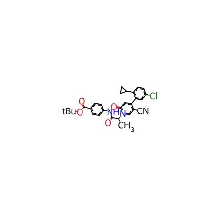 CC(C(=O)Nc1ccc(C(=O)OC(C)(C)C)cc1)n1cc(C#N)c(-c2cc(Cl)ccc2C2CC2)cc1=O